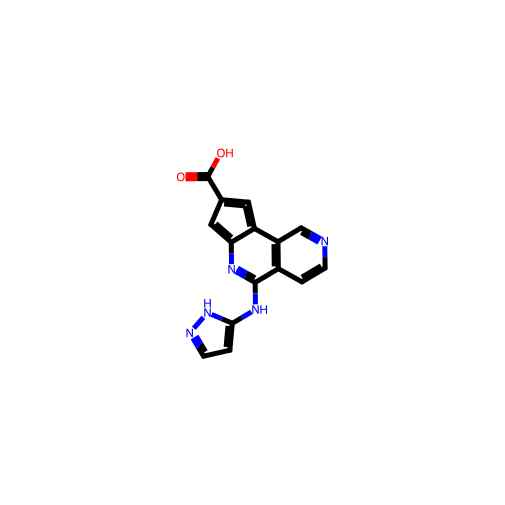 O=C(O)C1=C=c2c(nc(Nc3ccn[nH]3)c3ccncc23)=C1